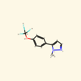 Cn1nccc1-c1ccc(OC(F)(F)F)cc1